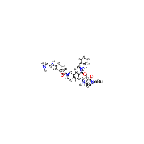 CCCCN(CCCC)C(=O)c1cc(-c2cc3c(cc2C(=O)N2Cc4ccccc4C[C@H]2C)CN(C(=O)Cc2ccc(N(C)CCN(C)C)cc2)CC3)n(C)c1C